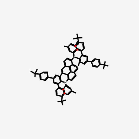 Cc1cc(C)cc(N(c2c(F)cc(-c3ccc(C(C)(C)C)cc3)cc2-c2ccc(C(C)(C)C)cc2)c2ccc3ccc4c(N(c5cc(C)cc(C)c5)c5c(F)cc(-c6ccc(C(C)(C)C)cc6)cc5-c5ccc(C(C)(C)C)cc5)ccc5ccc2c3c54)c1